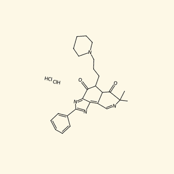 CC1(C)N=CC2=C3N=C(c4ccccc4)N=C3C(=O)C(CCCN3CCCCC3)C2C1=O.Cl.Cl